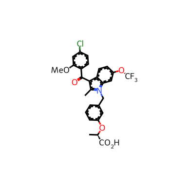 COc1cc(Cl)ccc1C(=O)c1c(C)n(Cc2cccc(O[C@H](C)C(=O)O)c2)c2cc(OC(F)(F)F)ccc12